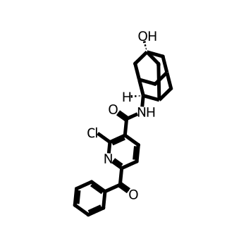 O=C(c1ccccc1)c1ccc(C(=O)N[C@H]2C3CC4CC2C[C@](O)(C4)C3)c(Cl)n1